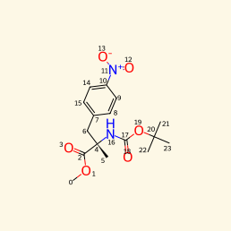 COC(=O)[C@](C)(Cc1ccc([N+](=O)[O-])cc1)NC(=O)OC(C)(C)C